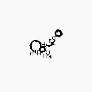 O=C1CCC/C=C\C[C@@H]2[C@@H](/C=C/C(F)(F)COc3ccccc3)[C@H](OPI)C[C@@H]2O1